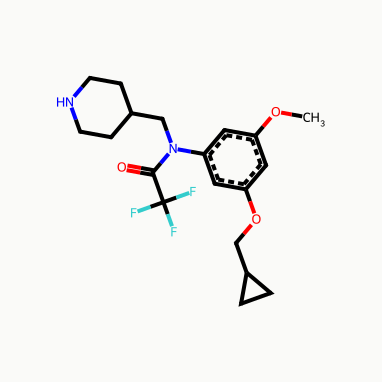 COc1cc(OCC2CC2)cc(N(CC2CCNCC2)C(=O)C(F)(F)F)c1